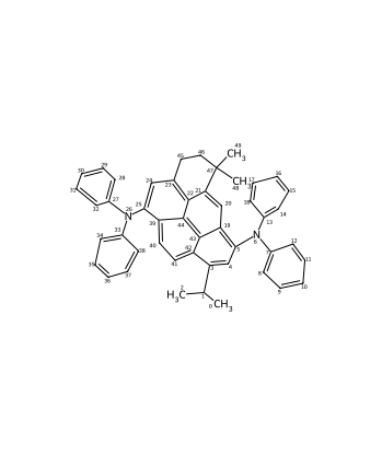 CC(C)c1cc(N(c2ccccc2)c2ccccc2)c2cc3c4c(cc(N(c5ccccc5)c5ccccc5)c5ccc1c2c54)CCC3(C)C